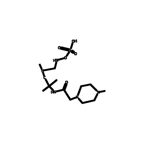 CN1CCN(CC(=O)NC(C)(C)CN(C)CNOS(=O)(=O)O)CC1